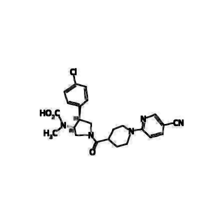 CN(C(=O)O)[C@H]1CN(C(=O)C2CCN(c3ccc(C#N)cn3)CC2)C[C@@H]1c1ccc(Cl)cc1